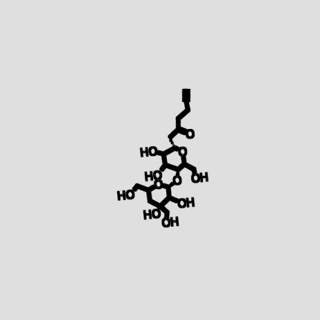 C#CCCC(=O)C[C@@H]1OC(CO)[C@@H](O[C@@H]2OC(CO)CC(O)(CO)C2O)C(O)C1O